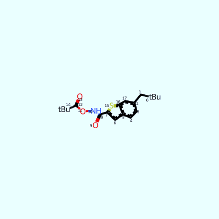 CC(C)(C)Cc1ccc2cc(C(=O)NOC(=O)C(C)(C)C)sc2c1